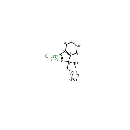 CC(C)(C)[SiH2]C[C]1([Ti+3])C=CC2=C1CCCC2.[Cl-].[Cl-].[Cl-]